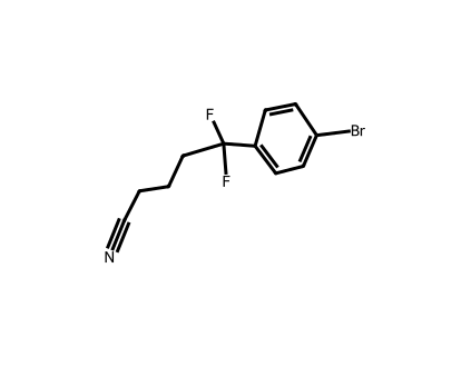 N#CCCCC(F)(F)c1ccc(Br)cc1